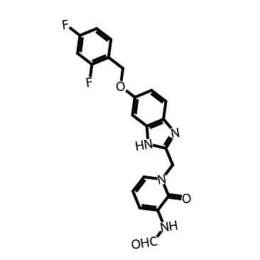 O=CNc1cccn(Cc2nc3ccc(OCc4ccc(F)cc4F)cc3[nH]2)c1=O